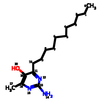 CCCCCCCCCCCc1nc(N)nc(C)c1O